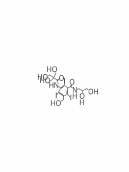 O=C(NCC(O)CO)c1c(I)c(CO)c(I)c(NC(=O)C(CO)(CO)CO)c1I